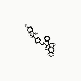 O=C(Nc1ccc(F)cc1C(F)(F)F)c1ccc(CN2C(=O)C3(COc4cc5c(cc43)OCO5)c3ccccc32)cc1